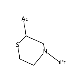 CC(=O)C1CN(C(C)C)CCS1